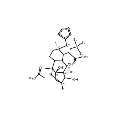 CC[Si](CC)(CC)O[C@@H](c1ccoc1)[C@]1(C)CCC2C(C1CC(=O)OC)[C@H](O)[C@@]1(O)C(O)[C@]3(C)C[C@]1(O)C2(C)[C@H]3CC(=O)OC